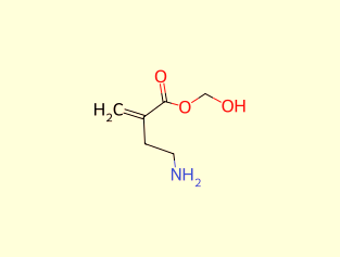 C=C(CCN)C(=O)OCO